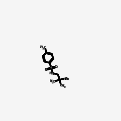 CCCCC(C)(C)CNS(=O)(=O)c1ccc(C)cc1